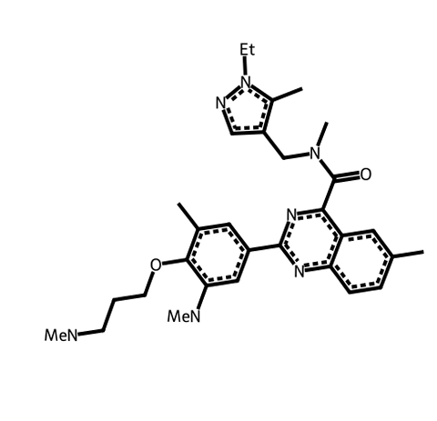 CCn1ncc(CN(C)C(=O)c2nc(-c3cc(C)c(OCCCNC)c(NC)c3)nc3ccc(C)cc23)c1C